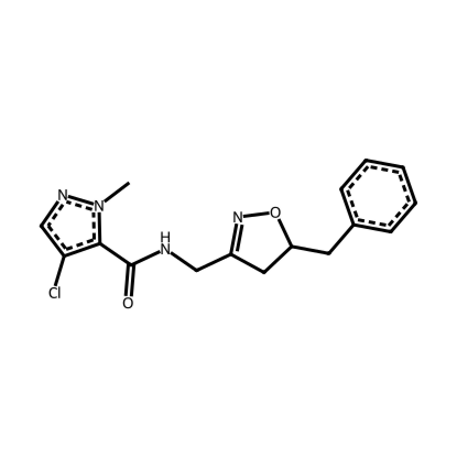 Cn1ncc(Cl)c1C(=O)NCC1=NOC(Cc2ccccc2)C1